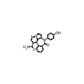 NC(=O)c1cnn2ccc3c2c1-c1ccccc1C(=O)N3c1ccc(O)cc1